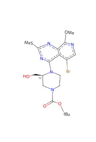 COc1ncc(Br)c2c(N3CCN(C(=O)OC(C)(C)C)C[C@H]3CO)nc(SC)nc12